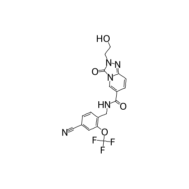 N#Cc1ccc(CNC(=O)c2ccc3nn(CCO)c(=O)n3c2)c(OC(F)(F)F)c1